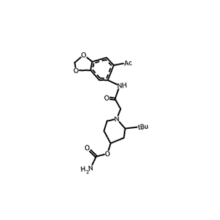 CC(=O)c1cc2c(cc1NC(=O)CN1CCC(OC(N)=O)CC1C(C)(C)C)OCO2